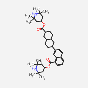 CC1(C)CC(OC(=O)c2cccc3ccc(C4CCC5CC(C(=O)OC6CC(C)(C)NC(C)(C)C6)CCC5C4)cc23)CC(C)(C)N1